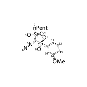 CCCCCS(=O)(=O)C(=[N+]=[N-])S(=O)(=O)c1cccc(OC)c1